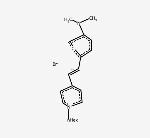 CCCCCC[n+]1ccc(/C=C/c2ccc(N(C)C)cc2)cc1.[Br-]